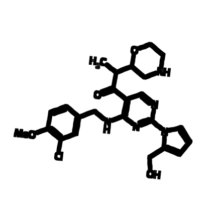 COc1ccc(CNc2nc(-n3cccc3CO)ncc2C(=O)C(C)C2CNCCO2)cc1Cl